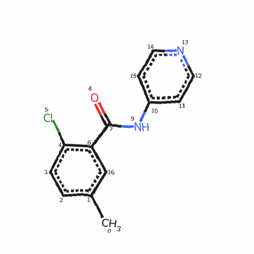 Cc1ccc(Cl)c(C(=O)Nc2ccncc2)c1